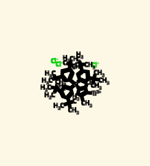 CC1=[C]([Ti+3])C(C)=C([Si](c2cc(C(C)(C)C)cc(C(C)(C)C)c2)(c2cc(C(C)(C)C)cc(C(C)(C)C)c2)c2cc(C(C)(C)C)cc(C(C)(C)C)c2)C1.[Cl-].[Cl-].[Cl-]